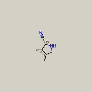 C[C@@H]1[C@H](C)CN[C@H]1C#N